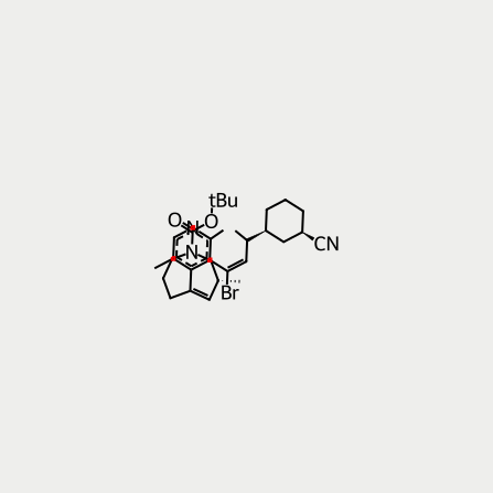 Cc1cnc(C)c(/C(Br)=C\C(C)[C@H]2CCC[C@@H](C#N)C2)c1/C1=C\[C@@H](C)CN(C(=O)OC(C)(C)C)CCC1